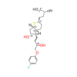 CCCC(CC[C@H]1CC[C@@H]2[C@@H](C=C[C@@H](O)COc3ccc(F)cc3)[C@H](O)C[C@@H]2S1)C(=O)O